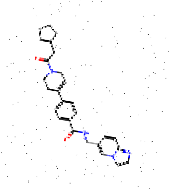 O=C(NCc1ccc2nccn2c1)c1ccc(C2=CCN(C(=O)CC3CCCC3)CC2)cc1